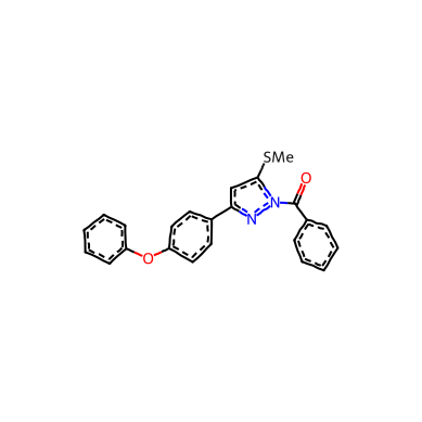 CSc1cc(-c2ccc(Oc3ccccc3)cc2)nn1C(=O)c1ccccc1